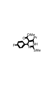 COC(=O)C1=C(C(C)C)NC(SC)=NC1c1ccc(F)cc1